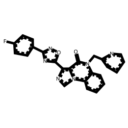 O=c1c2c(-c3nc(-c4ccc(F)cc4)no3)ncn2c2ccccc2n1Cc1ccccn1